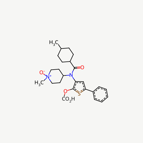 CC1CCC(C(=O)N(c2cc(-c3ccccc3)sc2OC(=O)O)C2CC[N+](C)([O-])CC2)CC1